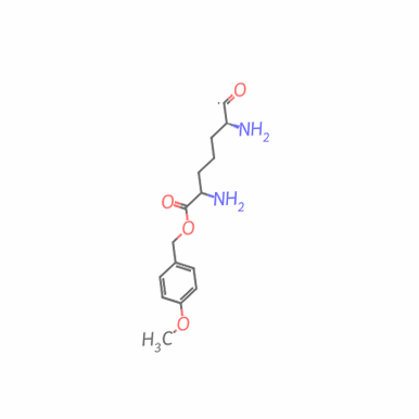 COc1ccc(COC(=O)C(N)CCC[C@H](N)[C]=O)cc1